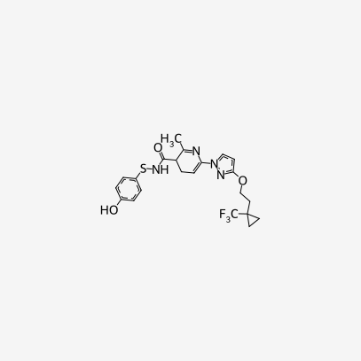 CC1=NC(n2ccc(OCCC3(C(F)(F)F)CC3)n2)=CCC1C(=O)NSc1ccc(O)cc1